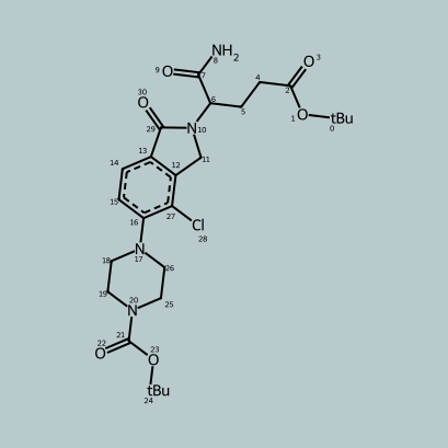 CC(C)(C)OC(=O)CCC(C(N)=O)N1Cc2c(ccc(N3CCN(C(=O)OC(C)(C)C)CC3)c2Cl)C1=O